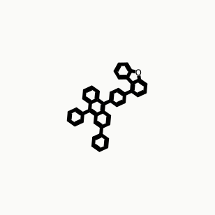 c1ccc(-c2ccc3c(-c4ccc(-c5cccc6oc7ccccc7c56)cc4)c4ccccc4c(-c4ccccc4)c3c2)cc1